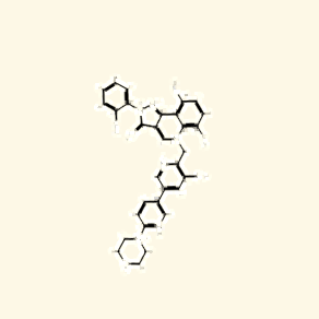 O=c1c2cn(Cc3ncc(-c4ccc(N5CCOCC5)nc4)cc3F)c3c(F)ccc(F)c3c-2nn1-c1ccccc1F